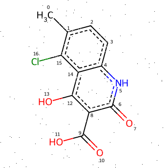 Cc1ccc2[nH]c(=O)c(C(=O)O)c(O)c2c1Cl